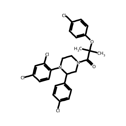 CC(C)(Oc1ccc(Cl)cc1)C(=O)N1CCN(c2ccc(Cl)cc2Cl)C(c2ccc(Cl)cc2)C1